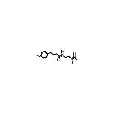 CNNCCNC(=O)CCCc1ccc(F)cc1